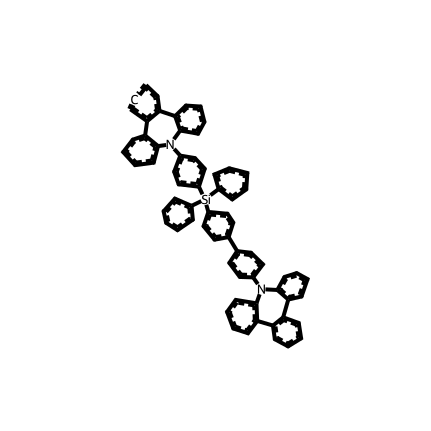 c1ccc([Si](c2ccccc2)(c2ccc(-c3ccc(N4c5ccccc5-c5ccccc5-c5ccccc54)cc3)cc2)c2ccc(N3c4ccccc4-c4ccccc4-c4ccccc43)cc2)cc1